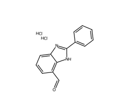 Cl.Cl.O=Cc1cccc2nc(-c3ccccc3)[nH]c12